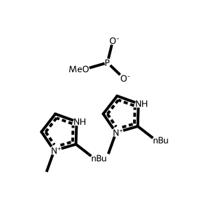 CCCCc1[nH]cc[n+]1C.CCCCc1[nH]cc[n+]1C.COP([O-])[O-]